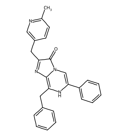 Cc1ccc(Cc2nc3c(Cc4ccccc4)[nH]c(-c4ccccc4)cn-3c2=O)cn1